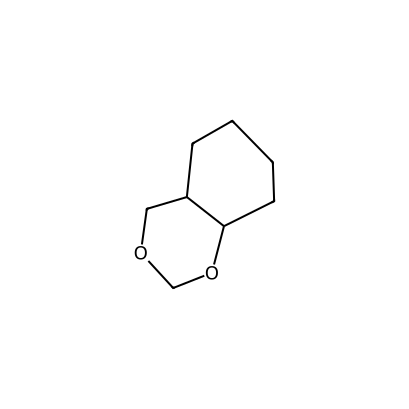 C1CCC2OCOCC2C1